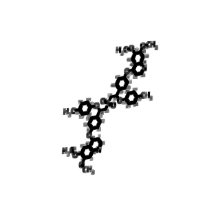 COc1cc2nccc(Oc3ccc(C(CS(=O)(=O)CC(Oc4ccc(C)cc4)c4ccc(Oc5ccnc6cc(OC)c(OC)cc56)cc4)Oc4ccc(C)cc4)cc3)c2cc1OC